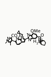 CCOC(=O)c1nn(C)c(C)c1-c1ccc2cc(-c3nc4cc(C(=O)N5CC6CCC5[C@@H]6N)cc(OC)c4n3C)n(CC3CC3)c2n1